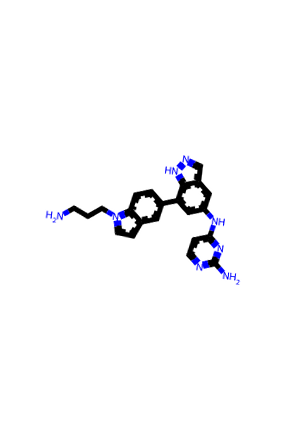 NCCCn1ccc2cc(-c3cc(Nc4ccnc(N)n4)cc4cn[nH]c34)ccc21